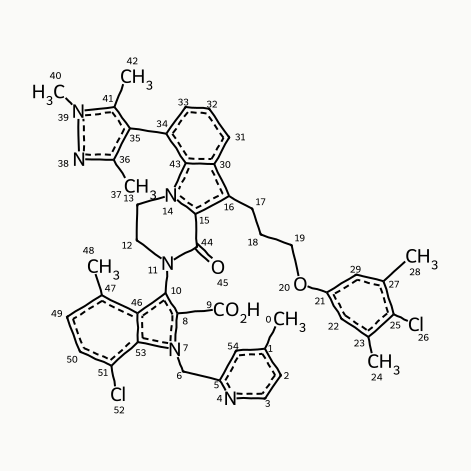 Cc1ccnc(Cn2c(C(=O)O)c(N3CCn4c(c(CCCOc5cc(C)c(Cl)c(C)c5)c5cccc(-c6c(C)nn(C)c6C)c54)C3=O)c3c(C)ccc(Cl)c32)c1